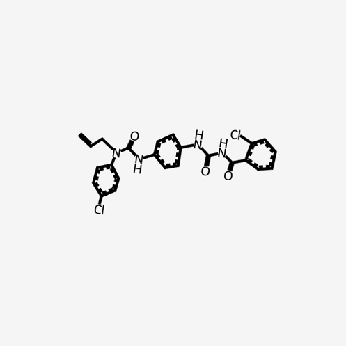 C=CCN(C(=O)Nc1ccc(NC(=O)NC(=O)c2ccccc2Cl)cc1)c1ccc(Cl)cc1